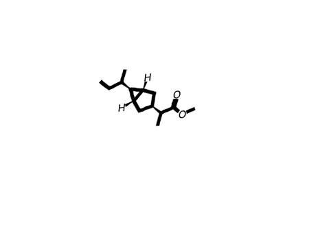 CCC(C)[C@H]1[C@@H]2C[C@@H](C(C)C(=O)OC)C[C@@H]21